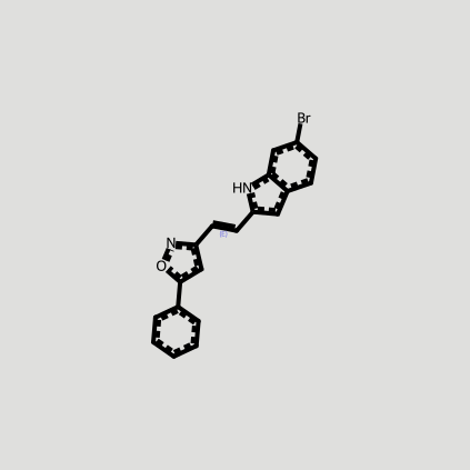 Brc1ccc2cc(/C=C/c3cc(-c4ccccc4)on3)[nH]c2c1